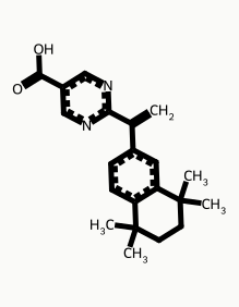 C=C(c1ccc2c(c1)C(C)(C)CCC2(C)C)c1ncc(C(=O)O)cn1